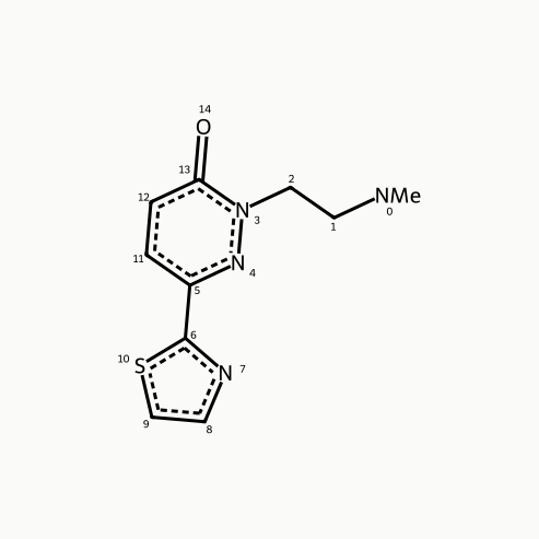 CNCCn1nc(-c2nccs2)ccc1=O